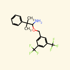 CC(C)(c1ccccc1)C(N)OCc1cc(C(F)(F)F)cc(C(F)(F)F)c1